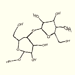 CCCOC1OC(CO)C(OC2OC(CS)C(O)C(O)C2O)C(O)C1O